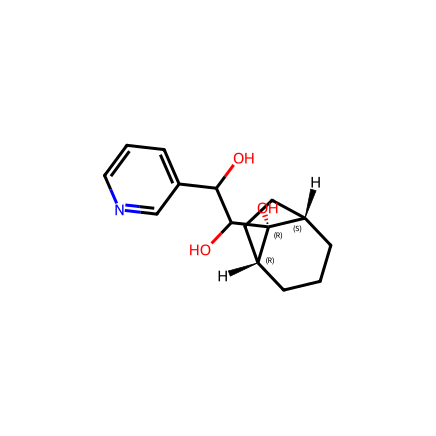 OC(c1cccnc1)C(O)[C@]1(O)[C@@H]2CCC[C@H]1CC2